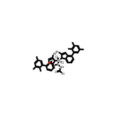 CCC(=O)N[B](NC(=O)CC)[Hf]([Cl])([Cl])([CH]1C(C(C)C)=Cc2c(-c3cc(C)cc(C)c3C)cccc21)[CH]1C(C(C)C)=Cc2c(-c3cc(C)cc(C)c3C)cccc21